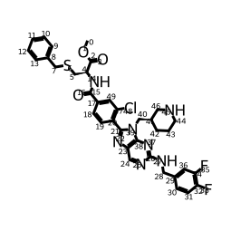 COC(=O)[C@H](CSCc1ccccc1)NC(=O)c1ccc(-c2nc3cnc(NCc4ccc(F)c(F)c4)nc3n2C[C@@H]2CCCNC2)c(Cl)c1